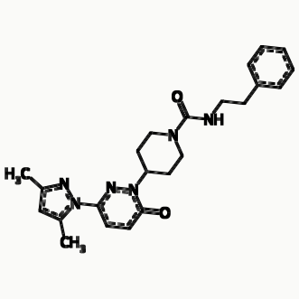 Cc1cc(C)n(-c2ccc(=O)n(C3CCN(C(=O)NCCc4ccccc4)CC3)n2)n1